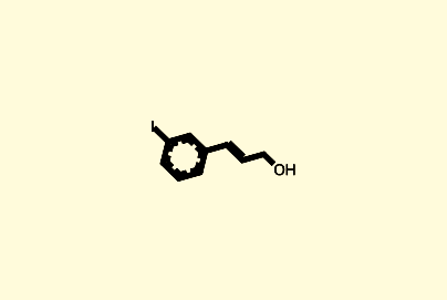 OCC=Cc1cccc(I)c1